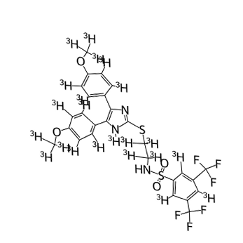 [3H]c1c([3H])c(-c2nc(SC([3H])([3H])C([3H])([3H])NS(=O)(=O)c3c([3H])c(C(F)(F)F)c([3H])c(C(F)(F)F)c3[3H])n([3H])c2-c2c([3H])c([3H])c(OC([3H])([3H])[3H])c([3H])c2[3H])c([3H])c([3H])c1OC([3H])([3H])[3H]